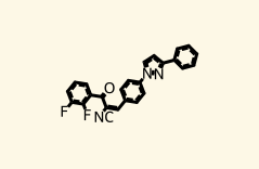 N#CC(=Cc1ccc(-n2ccc(-c3ccccc3)n2)cc1)C(=O)c1cccc(F)c1F